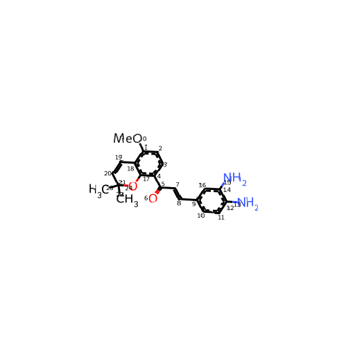 COc1ccc(C(=O)C=Cc2ccc(N)c(N)c2)c2c1C=CC(C)(C)O2